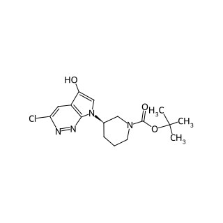 CC(C)(C)OC(=O)N1CCC[C@@H](n2cc(O)c3cc(Cl)nnc32)C1